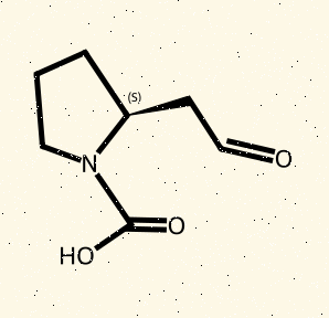 O=CC[C@@H]1CCCN1C(=O)O